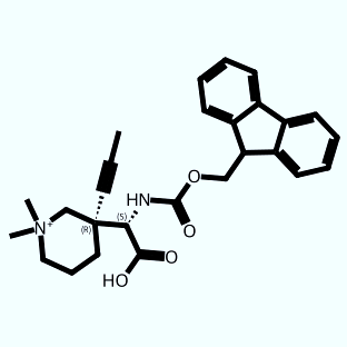 CC#C[C@]1([C@H](NC(=O)OCC2c3ccccc3-c3ccccc32)C(=O)O)CCC[N+](C)(C)C1